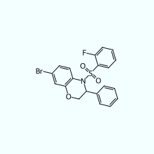 O=S(=O)(c1ccccc1F)N1c2ccc(Br)cc2OCC1c1ccccc1